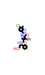 Cc1cc(-c2nn3cc(C(=O)NC(CCO)c4ccc(F)cc4)c(C(C)C)c3c(=O)[nH]2)ccc1Cl